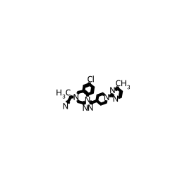 Cc1ccnc(N2CCC(c3nnc4n3-c3ccc(Cl)cc3CN(C(C)C#N)C4)CC2)n1